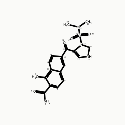 Cc1c(C(N)=O)ccc2cc(C(=O)C3=CNCN3S(=O)(=O)N(C)C)ccc12